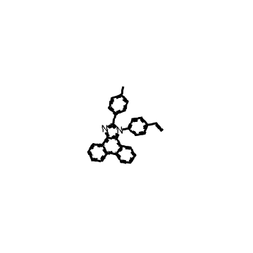 C=Cc1ccc(-n2c(-c3ccc(C)cc3)nc3c4ccccc4c4ccccc4c32)cc1